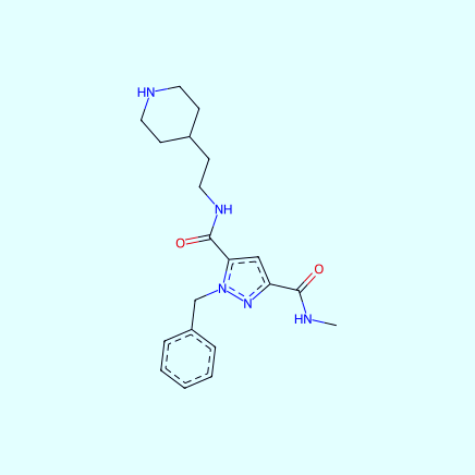 CNC(=O)c1cc(C(=O)NCCC2CCNCC2)n(Cc2ccccc2)n1